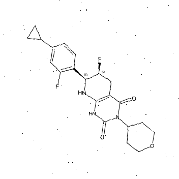 O=c1[nH]c2c(c(=O)n1C1CCOCC1)C[C@H](F)[C@H](c1ccc(C3CC3)cc1F)N2